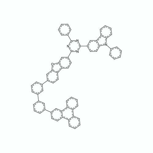 c1ccc(-c2nc(-c3ccc4c(c3)oc3cc(-c5cccc(-c6cccc(-c7ccc8c9ccccc9c9ccccc9c8c7)c6)c5)ccc34)nc(-c3ccc4c(c3)c3ccccc3n4-c3ccccc3)n2)cc1